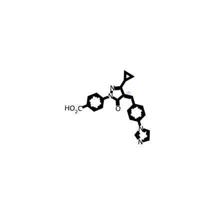 O=C(O)c1ccc(N2N=C(C3CC3)/C(=C/c3ccc(-n4ccnc4)cc3)C2=O)cc1